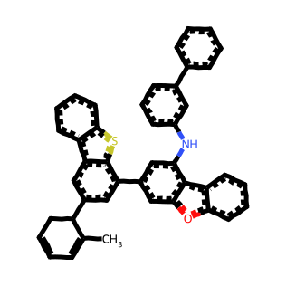 CC1=CC=CCC1c1cc(-c2cc(Nc3cccc(-c4ccccc4)c3)c3c(c2)oc2ccccc23)c2sc3ccccc3c2c1